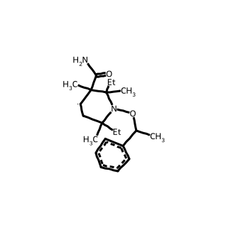 CCC1(C)C[CH]C(C)(C(N)=O)C(C)(CC)N1OC(C)c1ccccc1